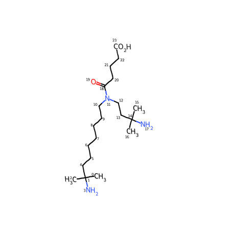 CC(C)(N)CCCCCCCN(CCC(C)(C)N)C(=O)CCCC(=O)O